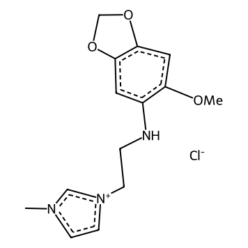 COc1cc2c(cc1NCC[n+]1ccn(C)c1)OCO2.[Cl-]